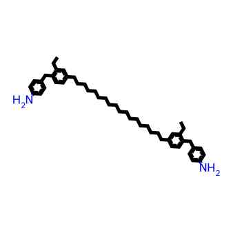 CCc1cc(CCCCCCCCCCCCCCCCCCc2ccc(Cc3ccc(N)cc3)c(CC)c2)ccc1Cc1ccc(N)cc1